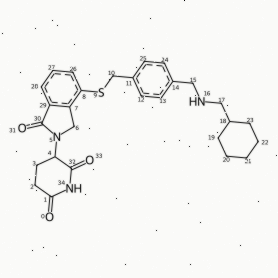 O=C1CCC(N2Cc3c(SCc4ccc(CNCC5CCCCC5)cc4)cccc3C2=O)C(=O)N1